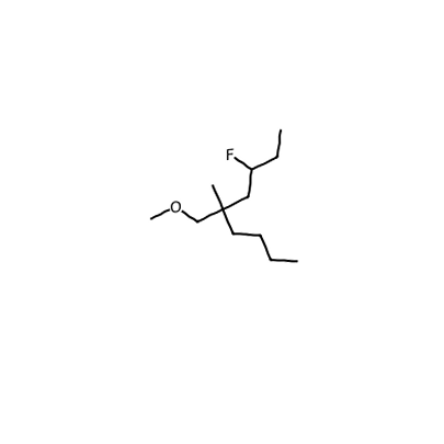 CCCCC(C)(COC)CC(F)CC